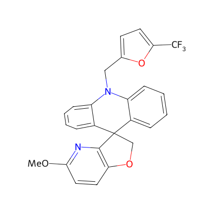 COc1ccc2c(n1)C1(CO2)c2ccccc2N(Cc2ccc(C(F)(F)F)o2)c2ccccc21